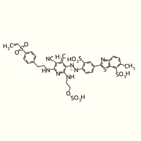 C=CS(=O)(=O)c1ccc(CCNc2nc(NCCOS(=O)(=O)O)c(/N=N/c3ccc(-c4nc5ccc(C)c(S(=O)(=O)O)c5s4)cc3S(=O)(=O)O)c(C)c2C#N)cc1